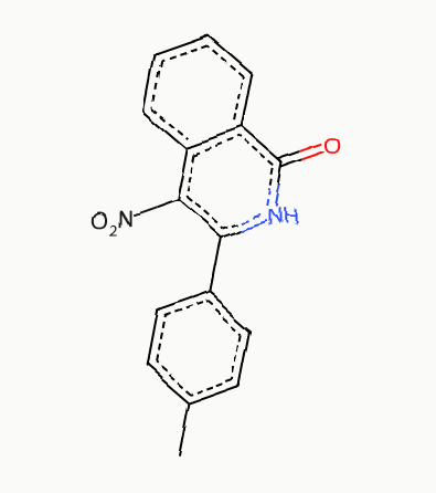 Cc1ccc(-c2[nH]c(=O)c3ccccc3c2[N+](=O)[O-])cc1